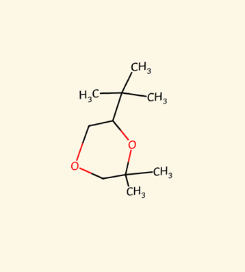 CC1(C)COCC(C(C)(C)C)O1